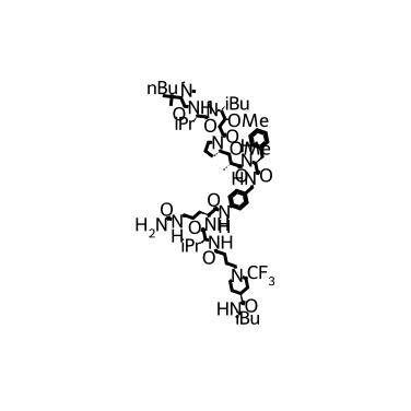 CCCCC(C)(C)[C@@H](C(=O)N[C@H](C(=O)N(C)[C@@H]([C@@H](C)CC)[C@@H](CC(=O)N1CCC[C@H]1[C@H](OC)[C@@H](C)C(=O)N[C@@H](Cc1ccccc1)C(=O)NCc1ccc(NC(=O)[C@H](CCCNC(N)=O)NC(=O)[C@@H](NC(=O)CCCN2CC[C@H](C(=O)NC(C)CC)C[C@@H]2C(F)(F)F)C(C)C)cc1)OC)C(C)C)N(C)C